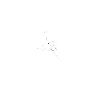 CC(C)CCCc1c(CCO)nnn1C(C)(C)CCOC(C)C